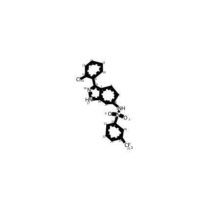 O=S(=O)(Nc1ccc2c(-c3ccccc3Cl)n[nH]c2c1)c1cccc(C(F)(F)F)c1